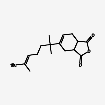 C/C(=C\CCC(C)(C)C1=CCC2C(=O)OC(=O)C2C1)C(C)(C)C